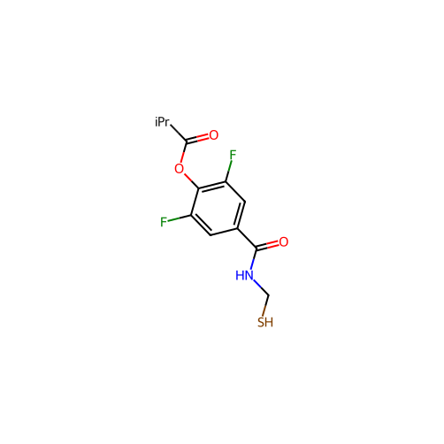 CC(C)C(=O)Oc1c(F)cc(C(=O)NCS)cc1F